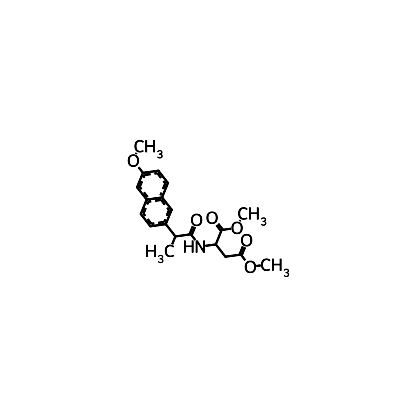 COC(=O)CC(NC(=O)C(C)c1ccc2cc(OC)ccc2c1)C(=O)OC